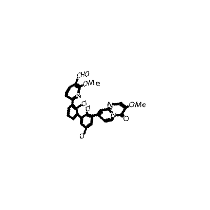 COc1nc(-c2cccc(-c3cc(Cl)cc(-c4ccn5c(=O)c(OC)cnc5c4)c3Cl)c2Cl)ccc1C=O